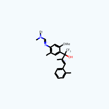 CCN(C)/C=N/c1cc(OC)c(C(O)(/C(C)=C/c2ccccc2C)C(F)(F)F)cc1C